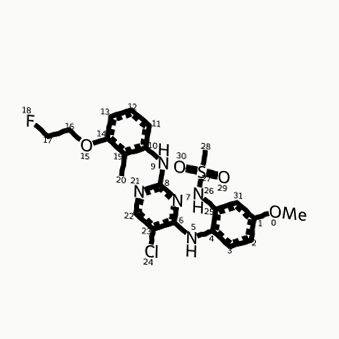 COc1ccc(Nc2nc(Nc3cccc(OCCF)c3C)ncc2Cl)c(NS(C)(=O)=O)c1